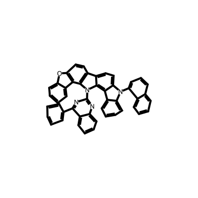 c1ccc(-c2nc(-n3c4c(ccc5oc6ccccc6c54)c4ccc5c(c6ccccc6n5-c5cccc6ccccc56)c43)nc3ccccc23)cc1